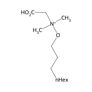 CCCCCCCCCO[N+](C)(C)CC(=O)O